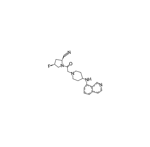 N#C[C@@H]1C[C@H](F)CN1C(=O)CN1CCC(Nc2cccc3ccncc23)CC1